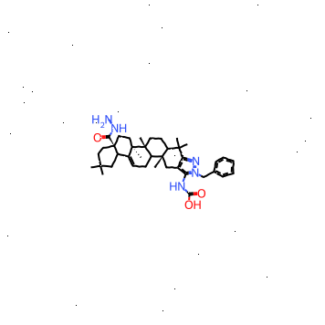 CC1(C)CC[C@]2(C(=O)NN)CC[C@]3(C)C(=CCC4[C@@]5(C)Cc6c(nn(Cc7ccccc7)c6NC(=O)O)C(C)(C)C5CC[C@]43C)C2C1